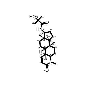 CN1C(=O)C=C[C@@]2(C)C1CC[C@@H]1[C@H]2CC[C@]2(C)C(NC(=O)C(C)(C)O)CC[C@@H]12